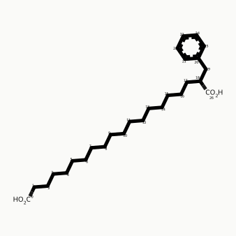 O=C(O)CCCCCCCCCCCCCCCCCC(Cc1ccccc1)C(=O)O